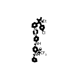 CCn1c(C)c(C)c(-c2cccc(N3CCN(c4ccc(NSc5ccc(NSc6ccccc6)c(S(=O)(=O)C(F)(F)F)c5)cc4)CC3)c2)c1-c1ccc(Cl)cc1